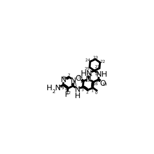 Cc1cc(Nc2ncnc(N)c2F)c(=O)n2c1C(=O)NC1(CCCCC1)N2